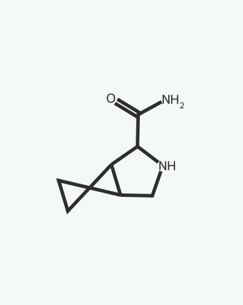 NC(=O)C1NCC2C1C21CC1